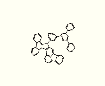 c1ccc(-c2cc(-c3cccc(-n4c5cc6c7c(cccc7c5c5c7ccccc7c7ccccc7c54)-c4ccccc4-6)c3)nc(-c3ccccc3)n2)cc1